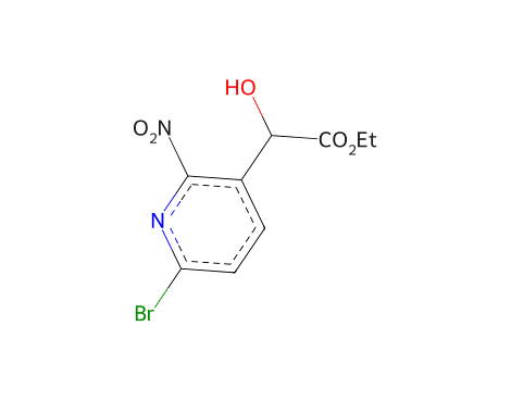 CCOC(=O)C(O)c1ccc(Br)nc1[N+](=O)[O-]